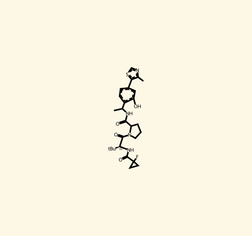 Cc1ncsc1-c1ccc(C(C)NC(=O)C2CCCN2C(=O)[C@@H](NC(=O)C2(F)CC2)C(C)(C)C)c(O)c1